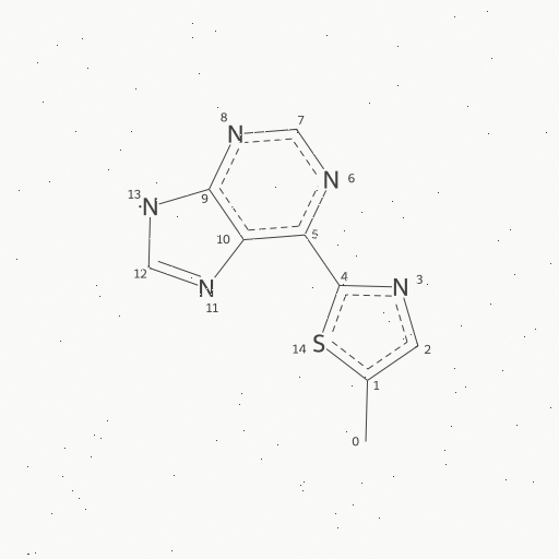 Cc1cnc(-c2ncnc3c2N=C[N]3)s1